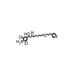 Nc1c(Cl)cc(C(O)CNCCCCCCOCCCc2ccncc2)cc1Cl